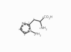 NC(Cc1nccn1P)C(=O)O